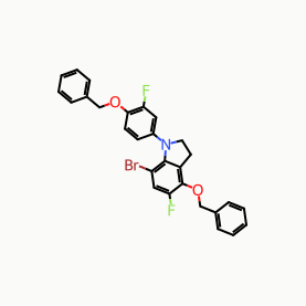 Fc1cc(N2CCc3c(OCc4ccccc4)c(F)cc(Br)c32)ccc1OCc1ccccc1